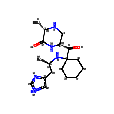 CCCC[C@@H]1NC[C@H](C(=O)C2(N[C@@H](Cc3c[nH]cn3)C(C)=O)CCCCC2)NC1=O